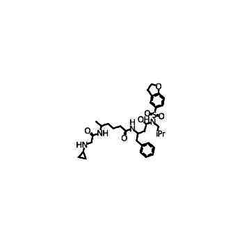 CC(C)CN(C(O)CC(Cc1ccccc1)NC(=O)CCCC(C)NC(=O)CNC1CC1)S(=O)(=O)c1ccc2c(c1)CCO2